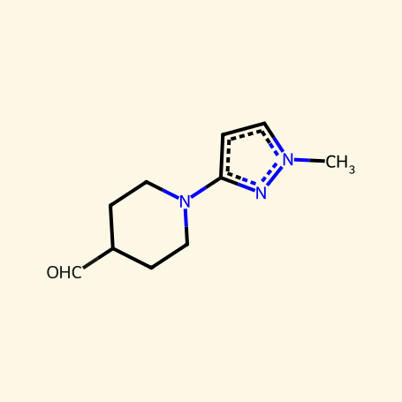 Cn1ccc(N2CCC(C=O)CC2)n1